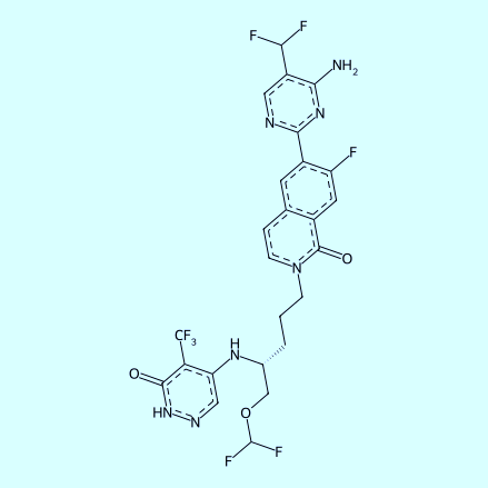 Nc1nc(-c2cc3ccn(CCC[C@H](COC(F)F)Nc4cn[nH]c(=O)c4C(F)(F)F)c(=O)c3cc2F)ncc1C(F)F